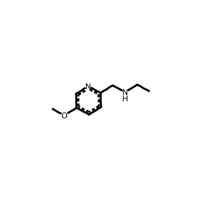 CCNCc1ccc(OC)cn1